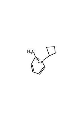 C[C]1=[Ge]([CH]2CCC2)[CH]=CC=C1